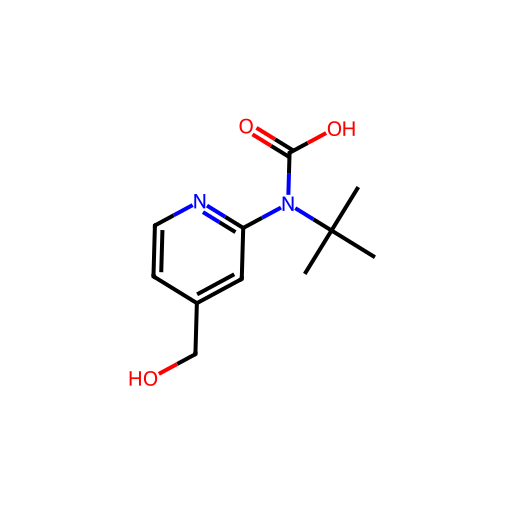 CC(C)(C)N(C(=O)O)c1cc(CO)ccn1